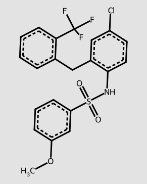 COc1cccc(S(=O)(=O)Nc2ccc(Cl)cc2Cc2ccccc2C(F)(F)F)c1